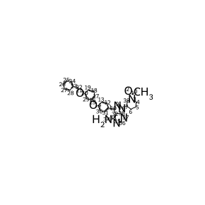 CC(=O)N1CCC[C@@H](n2nc(-c3ccc(Oc4cccc(OCc5ccccc5)c4)cc3)c3c(N)ncnc32)C1